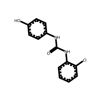 O=C(Nc1ccc(O)cc1)Nc1ccccc1Cl